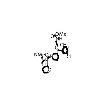 CNC[C@H](C[C@H]1CCCOC1)NC(=O)N1CCC[C@@H](C(OCCNC(=O)OC)c2cc(Cl)ccc2C)C1